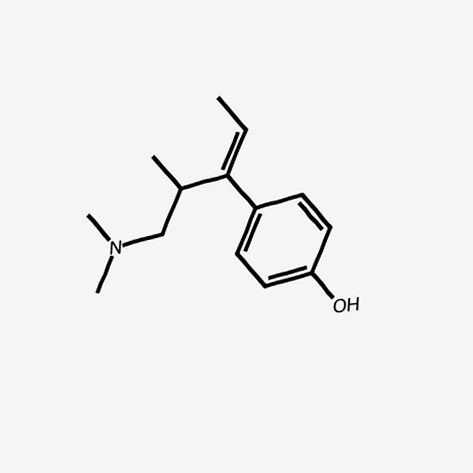 CC=C(c1ccc(O)cc1)C(C)CN(C)C